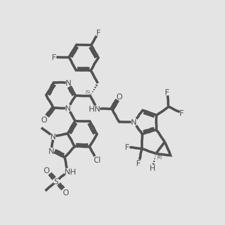 Cn1nc(NS(C)(=O)=O)c2c(Cl)ccc(-n3c([C@H](Cc4cc(F)cc(F)c4)NC(=O)Cn4cc(C(F)F)c5c4C(F)(F)[C@@H]4CC54)nccc3=O)c21